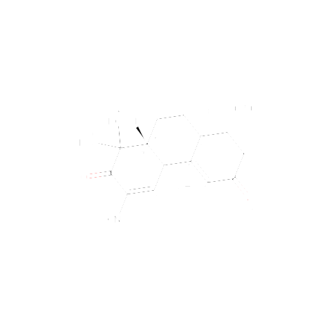 [C-]#[N+]C1=C[C@]2(C)C3=CC(=O)C[C@@H](CCCC)[C@]3(C)CC[C@H]2C(C)(C)C1=O